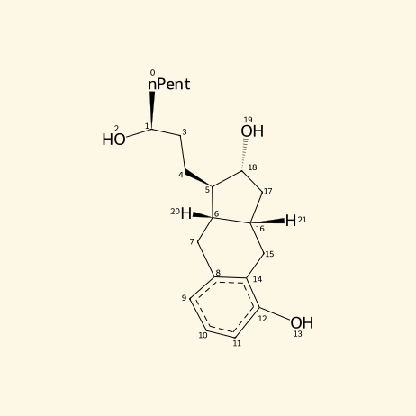 CCCCC[C@H](O)CC[C@@H]1[C@H]2Cc3cccc(O)c3C[C@H]2C[C@H]1O